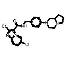 CCc1nc2ccc(Cl)cn2c1C(=O)NCc1ccc(N2CCN3CCCC3C2)cc1